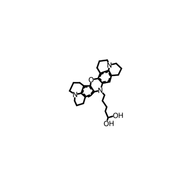 OC(O)CCCCN1c2cc3c4c(c2Oc2c1cc1c5c2CCCN5CCC1)CCCN4CCC3